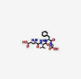 CC(C)[C@H](NC(=O)[C@@H](N)CCC(=O)O)C(=O)N[C@@H](Cc1ccccc1)C(=O)NCC(=O)O